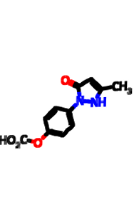 Cc1cc(=O)n(-c2ccc(OC(=O)O)cc2)[nH]1